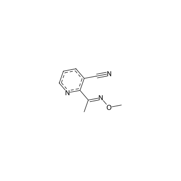 CON=C(C)c1ncccc1C#N